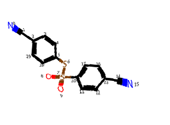 N#Cc1ccc(SS(=O)(=O)c2ccc(C#N)cc2)cc1